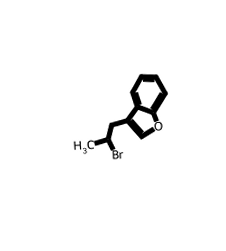 CC(Br)Cc1coc2ccccc12